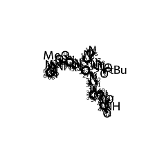 CC(C)(C)OC(=O)N1CCN(c2cccn3cncc23)CC1.COc1cc2nn(C3CCC(CN4CCN(c5cccn6c(N7CCC(=O)NC7=O)ncc56)CC4)CC3)cc2cc1C(=O)Nc1cnc2cccnn12